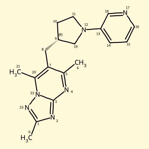 Cc1nc2nc(C)c(C[C@@H]3CCN(c4cccnc4)C3)c(C)n2n1